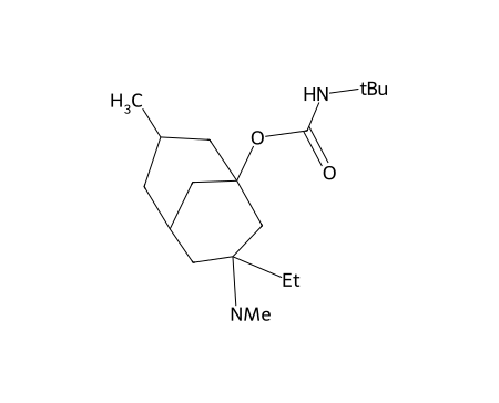 CCC1(NC)CC2CC(C)CC(OC(=O)NC(C)(C)C)(C2)C1